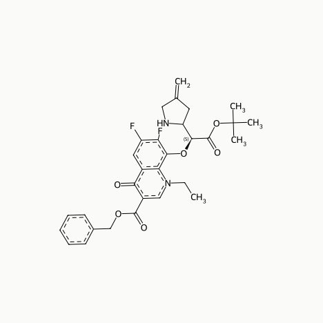 C=C1CNC([C@H](Oc2c(F)c(F)cc3c(=O)c(C(=O)OCc4ccccc4)cn(CC)c23)C(=O)OC(C)(C)C)C1